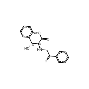 COC(=O)[C@@H](NCC(=O)c1ccccc1)[C@H](O)c1ccccc1